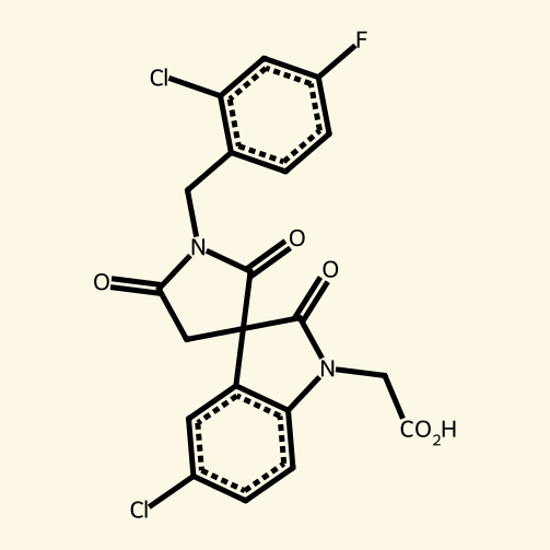 O=C(O)CN1C(=O)C2(CC(=O)N(Cc3ccc(F)cc3Cl)C2=O)c2cc(Cl)ccc21